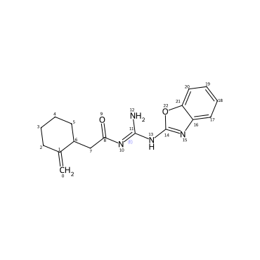 C=C1CCCCC1CC(=O)/N=C(\N)Nc1nc2ccccc2o1